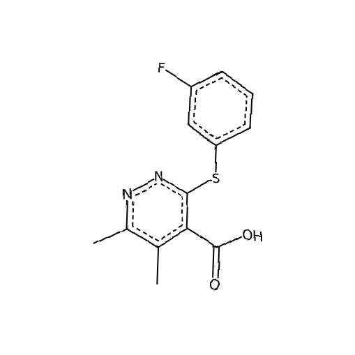 Cc1nnc(Sc2cccc(F)c2)c(C(=O)O)c1C